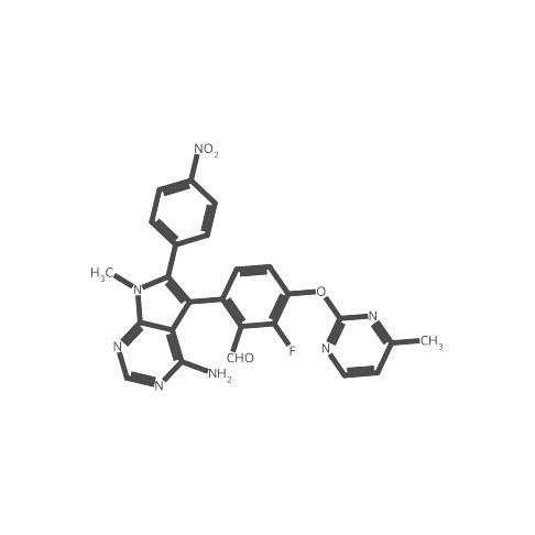 Cc1ccnc(Oc2ccc(-c3c(-c4ccc([N+](=O)[O-])cc4)n(C)c4ncnc(N)c34)c(C=O)c2F)n1